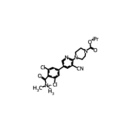 CC(C)OC(=O)N1CCN(c2ncc(-c3cc(Cl)c(C(=O)N(C)C)c(Cl)c3)cc2C#N)CC1